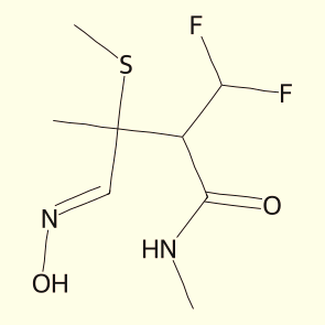 CNC(=O)C(C(F)F)C(C)(C=NO)SC